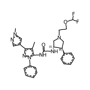 Cc1c(-c2cnn(C)c2)nn(-c2ccccc2)c1NC(=O)N[C@@H]1CN(CCOC(F)F)C[C@H]1c1ccccc1